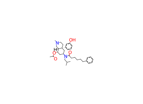 CC(=O)OC1C[C@H](N(CC(C)C)C(=O)CCCCCc2ccccc2)C[C@]2(c3cccc(O)c3)CCN(C)C[C@@H]12